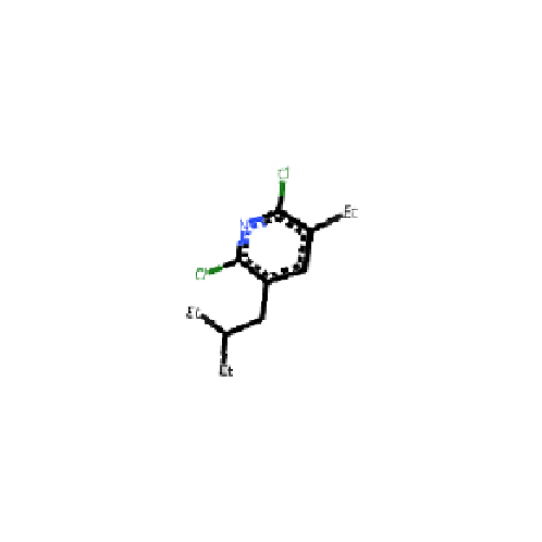 CCc1cc(CC(CC)CC)c(Cl)nc1Cl